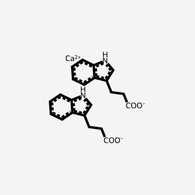 O=C([O-])CCc1c[nH]c2ccccc12.O=C([O-])CCc1c[nH]c2ccccc12.[Ca+2]